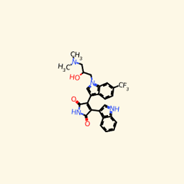 CN(C)CC(O)Cn1cc(C2=C(c3c[nH]c4ccccc34)C(=O)NC2=O)c2ccc(C(F)(F)F)cc21